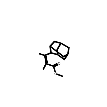 COC(=O)C(C)=C(C)C1C2CC3CC(C2)CC1C3